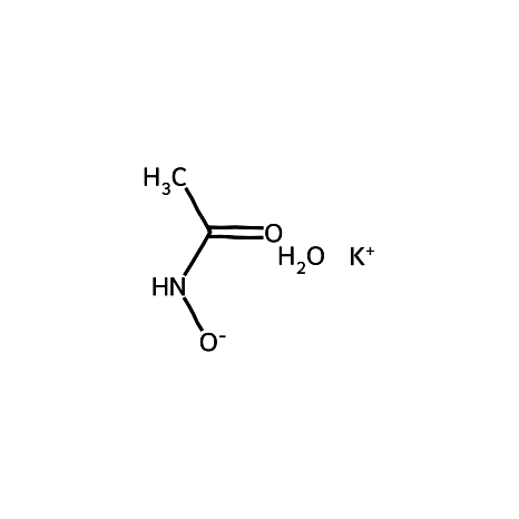 CC(=O)N[O-].O.[K+]